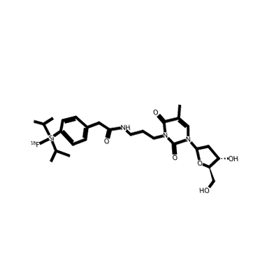 Cc1cn(C2C[C@H](O)[C@@H](CO)O2)c(=O)n(CCCNC(=O)Cc2ccc([Si]([18F])(C(C)C)C(C)C)cc2)c1=O